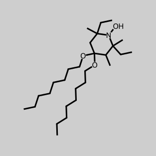 CCCCCCCCOC1(OCCCCCCCC)CC(C)(CC)N(O)C(C)(CC)C1C